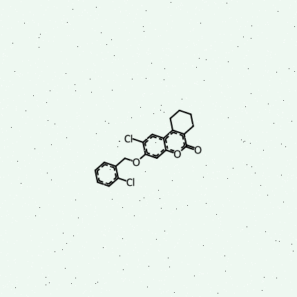 O=c1oc2cc(OCc3ccccc3Cl)c(Cl)cc2c2c1CCCC2